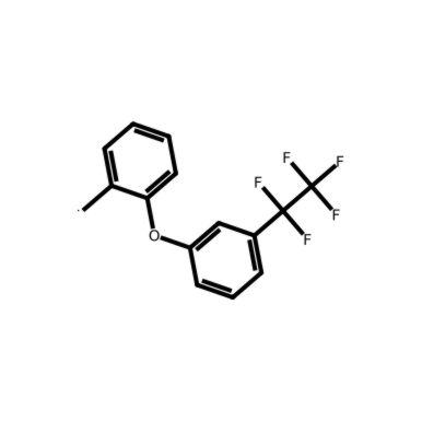 [CH2]c1ccccc1Oc1cccc(C(F)(F)C(F)(F)F)c1